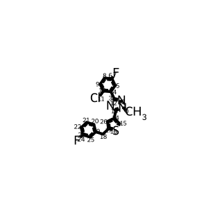 Cn1nc(-c2cc(F)ccc2Cl)nc1-c1csc(Cc2cccc(F)c2)c1